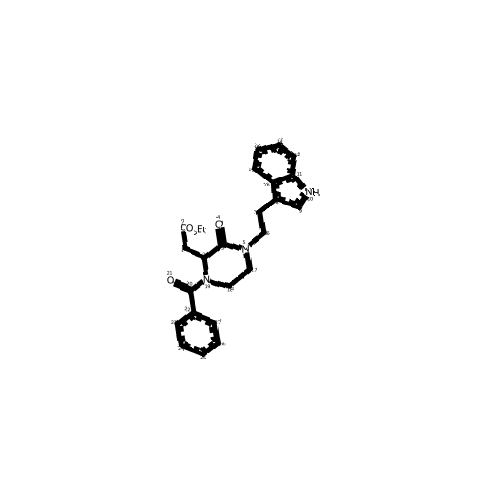 CCOC(=O)CC1C(=O)N(CCc2c[nH]c3ccccc23)CCN1C(=O)c1ccccc1